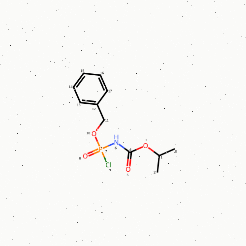 CC(C)OC(=O)NP(=O)(Cl)OCc1ccccc1